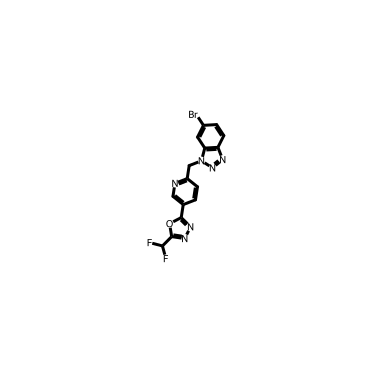 FC(F)c1nnc(-c2ccc(Cn3nnc4ccc(Br)cc43)nc2)o1